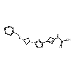 O=C(O)NC12CC(c3ccn([C@H]4C[C@@H](OCc5ccccc5)C4)n3)(C1)C2